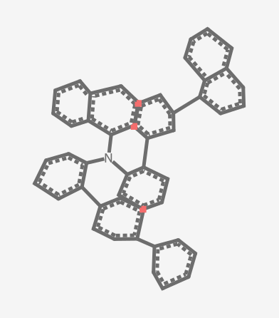 c1ccc(-c2ccc(-c3ccccc3N(c3ccccc3-c3cccc(-c4cccc5ccccc45)c3)c3cccc4ccccc34)cc2)cc1